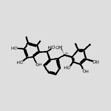 Cc1c(C)c(C(O)c2ccccc2[C@H](N=O)c2c(C)c(C)c(O)c(O)c2O)c(O)c(O)c1O